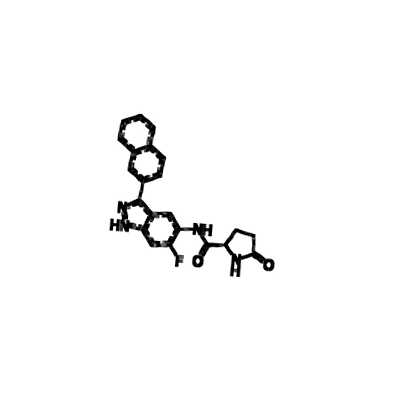 O=C1CC[C@H](C(=O)Nc2cc3c(-c4ccc5ccccc5c4)n[nH]c3cc2F)N1